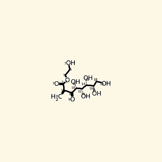 C=C(C(=O)OCCO)C(=O)[C@H](O)[C@@H](O)[C@H](O)[C@H](O)CO